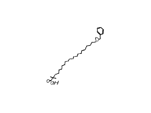 CC(C)(CCCCCCCCCCCCCCCCCCCCOCc1ccccc1)C(=O)O